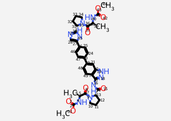 COC(=O)N[C@@H](C)C(=O)N1CCC[C@H]1C(=O)Nc1n[nH]c2cc(-c3ccc(-c4cnc([C@@H]5CCCN5C(=O)[C@H](C)NC(=O)OC)[nH]4)cc3)ccc12